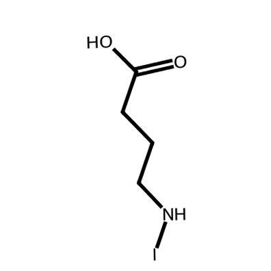 O=C(O)CCCNI